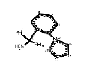 [2H]C([2H])(N)c1ccccc1-n1cccn1